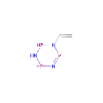 C=Cn1pn[pH][nH][pH]1